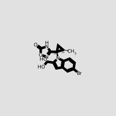 C[C@H]1C[C@]1(c1noc(=O)[nH]1)n1c(C(O)O)cc2cc(Br)ccc21